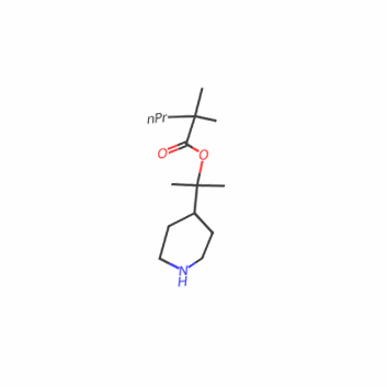 CCCC(C)(C)C(=O)OC(C)(C)C1CCNCC1